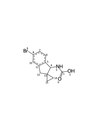 O=C(O)NC1c2ccc(Br)cc2CC12CC2